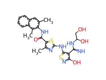 Cc1cc2ccccc2c(C)c1NC(=O)c1sc(Nc2snc(O)c2C(=N)NC(O)CO)nc1C